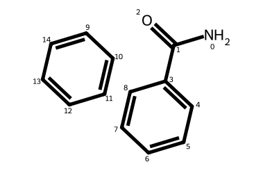 NC(=O)c1ccccc1.c1ccccc1